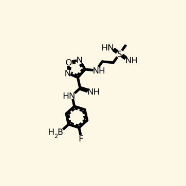 Bc1cc(NC(=N)c2nonc2NCCS(C)(=N)=N)ccc1F